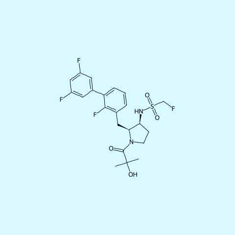 CC(C)(O)C(=O)N1CC[C@H](NS(=O)(=O)CF)[C@@H]1Cc1cccc(-c2cc(F)cc(F)c2)c1F